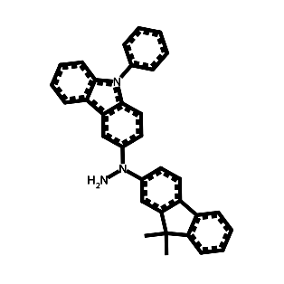 CC1(C)c2ccccc2-c2ccc(N(N)c3ccc4c(c3)c3ccccc3n4-c3ccccc3)cc21